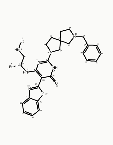 CCNC[C@@H](CC)Nc1nc(N2CCC3(CCN(Cc4ccccc4)C3)C2)[nH]c(=O)c1-c1nc2ccccc2s1